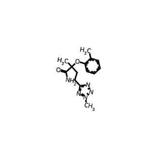 Cc1ccccc1OC(C)(CCc1nnn(C)n1)C(N)=O